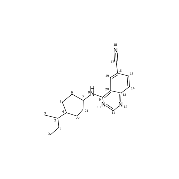 CCC(C)C1CCC(Nc2ncnc3ccc(C#N)cc23)CC1